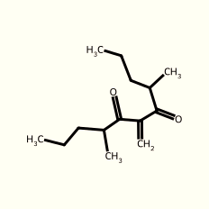 C=C(C(=O)C(C)CCC)C(=O)C(C)CCC